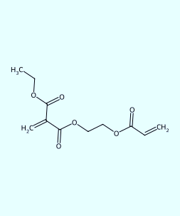 C=CC(=O)OCCOC(=O)C(=C)C(=O)OCC